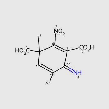 CC1=CC(C)(C(=O)O)C([N+](=O)[O-])=C(C(=O)O)C1=N